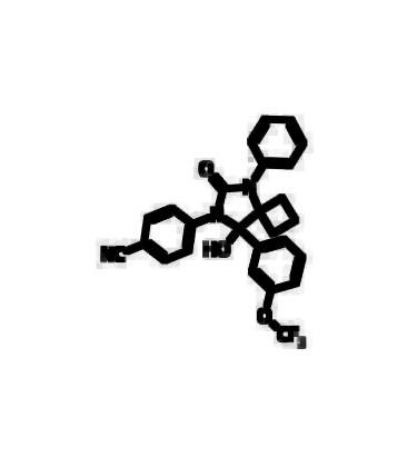 N#Cc1ccc(N2C(=O)N(c3ccccc3)C3(CCC3)C2(O)c2cccc(OC(F)(F)F)c2)cc1